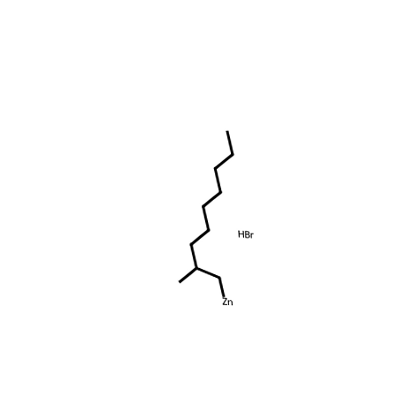 Br.CCCCCCCC(C)[CH2][Zn]